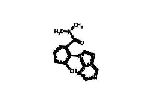 Cc1cccc(C(=O)N(C)C)c1-n1cnc2cncnc21